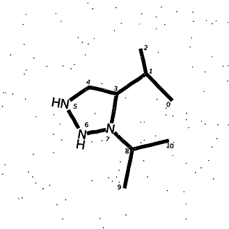 CC(C)C1CNNN1C(C)C